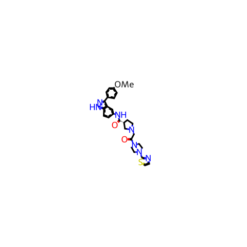 COc1ccc(-c2n[nH]c3ccc(NC(=O)[C@@H]4CCN(CC(=O)N5CCN(c6nccs6)CC5)C4)cc23)cc1